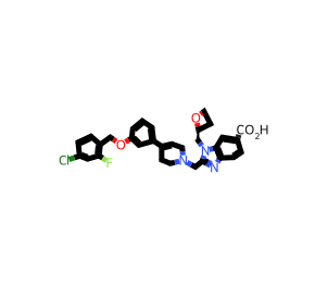 O=C(O)c1ccc2nc(CN3CC=C(c4cccc(OCc5ccc(Cl)cc5F)c4)CC3)n(C[C@@H]3CCO3)c2c1